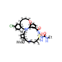 CCNC(=O)NS1(=O)=NC(=O)c2ccc3c(c2)N(Cc2ccc(Cl)cc2CCCCO3)C[C@@H]2CC[C@H]2[C@@H](OC)/C=C/C[C@H](C)C1